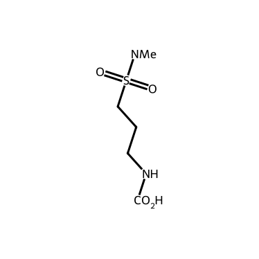 CNS(=O)(=O)CCCNC(=O)O